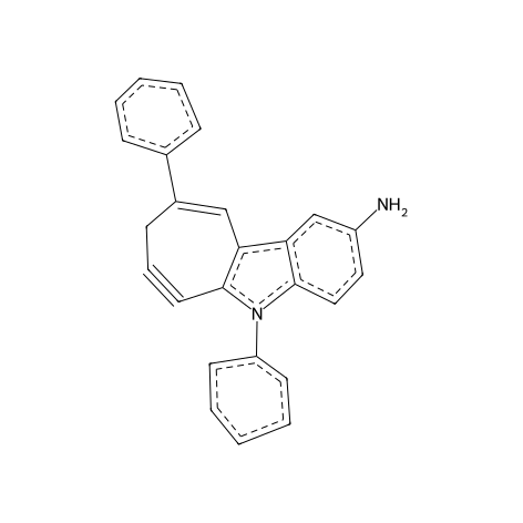 Nc1ccc2c(c1)c1c(n2-c2ccccc2)C#CCC(c2ccccc2)=C1